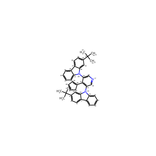 CC(C)(C)c1ccc2c3ccccc3n(-c3cncc(-n4c5ccccc5c5ccc(C(C)(C)C)cc54)c3C3=CC=CC3)c2c1